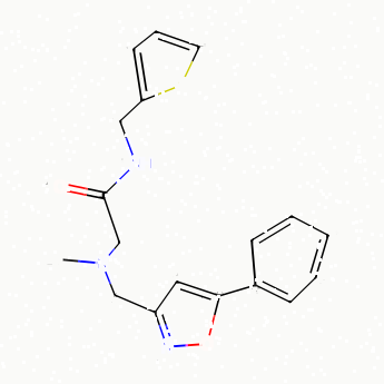 CCN(CC(=O)NCc1cccs1)Cc1cc(-c2ccccc2)on1